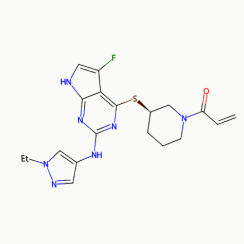 C=CC(=O)N1CCC[C@@H](Sc2nc(Nc3cnn(CC)c3)nc3[nH]cc(F)c23)C1